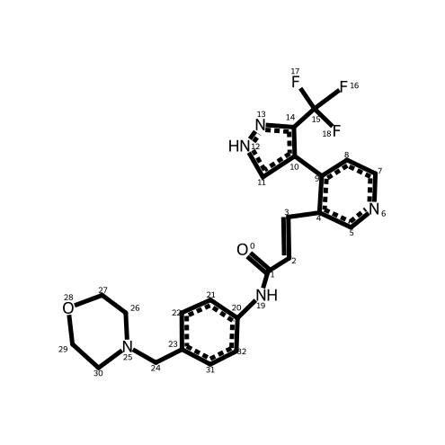 O=C(C=Cc1cnccc1-c1c[nH]nc1C(F)(F)F)Nc1ccc(CN2CCOCC2)cc1